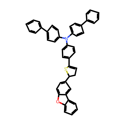 C1=C(c2ccc(N(c3ccc(-c4ccccc4)cc3)c3ccc(-c4ccccc4)cc3)cc2)SC(c2ccc3oc4ccccc4c3c2)C1